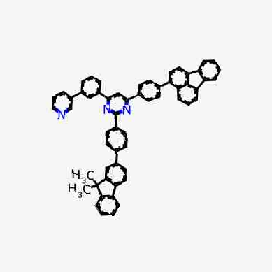 CC1(C)c2ccccc2-c2ccc(-c3ccc(-c4nc(-c5ccc(-c6ccc7c8c(cccc68)-c6ccccc6-7)cc5)cc(-c5cccc(-c6cccnc6)c5)n4)cc3)cc21